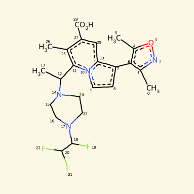 Cc1noc(C)c1-c1ccn2c(C(C)N3CCN(C(F)C(F)F)CC3)c(C)c(C(=O)O)cc12